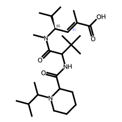 C/C(=C\[C@H](C(C)C)N(C)C(=O)C(NC(=O)C1CCCCN1C(C)C(C)C)C(C)(C)C)C(=O)O